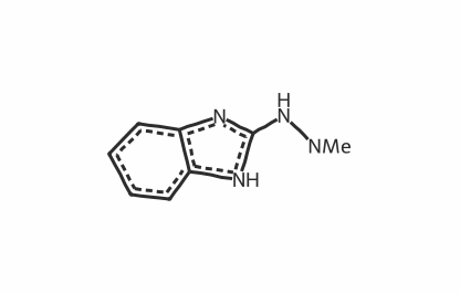 CNNc1nc2ccccc2[nH]1